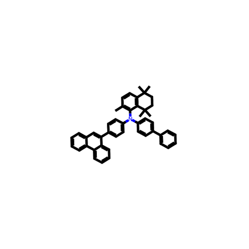 Cc1ccc2c(c1N(c1ccc(-c3ccccc3)cc1)c1ccc(-c3cc4ccccc4c4ccccc34)cc1)C(C)(C)CCC2(C)C